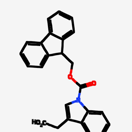 O=C(O)Cc1cn(C(=O)OCC2c3ccccc3-c3ccccc32)c2ccccc12